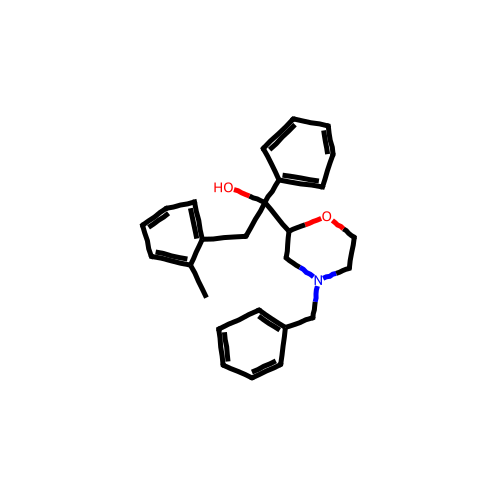 Cc1ccccc1CC(O)(c1ccccc1)C1CN(Cc2ccccc2)CCO1